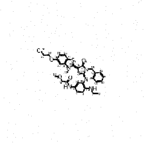 CCNc1ccc(NC(=O)COC)cc1N=C1SC(=C2Sc3ccc(OCCCl)cc3N2C)C(=O)N1Cc1ccccc1